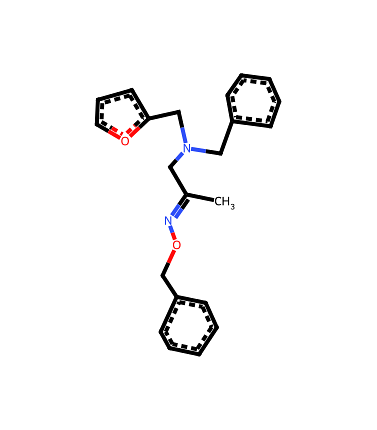 C/C(CN(Cc1ccccc1)Cc1ccco1)=N\OCc1ccccc1